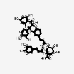 O=C(/C=C/c1ccc2c(c1)OC1(c3ccc(O)c(O)c3)Oc3cc(O)cc(O)c3C(=O)C1(O)O2)O[C@@H]1C[C@@](OC(=O)/C=C/c2ccc(O)c(O)c2)(C(=O)O)C[C@@H](O)[C@@H]1O